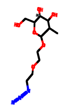 CC1C(OCCOCCN=[N+]=[N-])OC(CO)[C@H](O)C1O